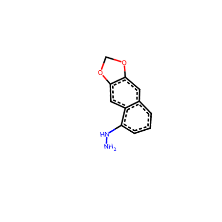 NNc1cccc2cc3c(cc12)OCO3